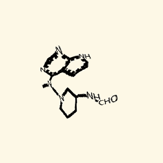 CN(c1ncnc2[nH]ccc12)N1CCCC(NC=O)C1